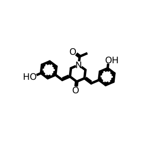 CC(=O)N1C/C(=C\c2cccc(O)c2)C(=O)/C(=C/c2cccc(O)c2)C1